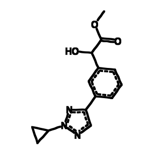 COC(=O)C(O)c1cccc(-c2cnn(C3CC3)n2)c1